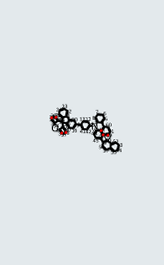 c1ccc(-c2ccccc2N(c2ccc(-c3ccc4c(c3)-c3ccccc3C43c4ccccc4Oc4ccccc43)cc2)c2ccc3c(c2)oc2c4ccccc4ccc32)cc1